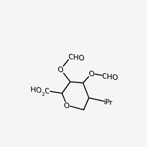 CC(C)C1COC(C(=O)O)C(OC=O)C1OC=O